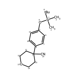 CC(C)(C)[Si](C)(C)Oc1ccc(C2(C#N)CCOCC2)cc1